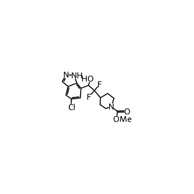 COC(=O)N1CCC(C(F)(F)C(O)c2cc(Cl)cc3cn[nH]c23)CC1